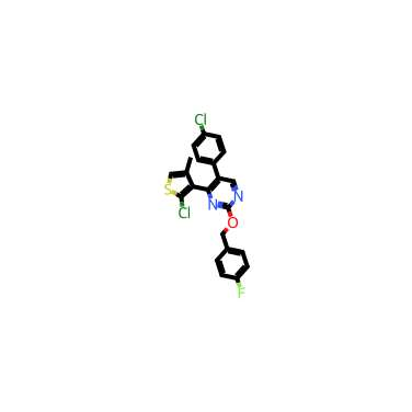 Cc1csc(Cl)c1-c1nc(OCc2ccc(F)cc2)ncc1-c1ccc(Cl)cc1